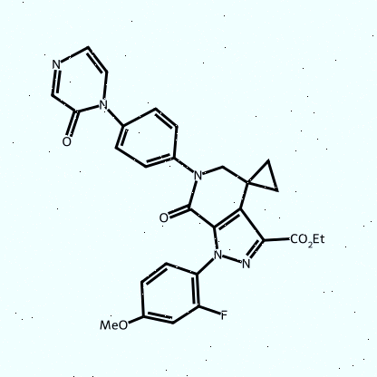 CCOC(=O)c1nn(-c2ccc(OC)cc2F)c2c1C1(CC1)CN(c1ccc(-n3ccncc3=O)cc1)C2=O